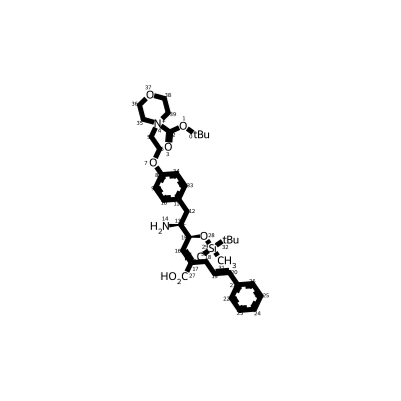 CC(C)(C)OC(=O)[N+]1(CCOc2ccc(C[C@H](N)[C@H](C=C(CC=Cc3ccccc3)C(=O)O)O[Si](C)(C)C(C)(C)C)cc2)CCOCC1